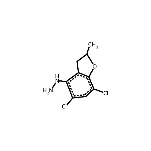 CC1Cc2c(NN)c(Cl)cc(Cl)c2O1